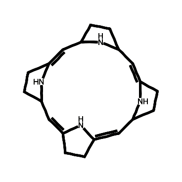 C1=C2CCC(=CC3CCC(=CC4CCC(C=C5CCC1N5)N4)N3)N2